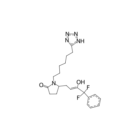 O=C1CCC(CC=C(O)C(F)(F)c2ccccc2)N1CCCCCCc1nnn[nH]1